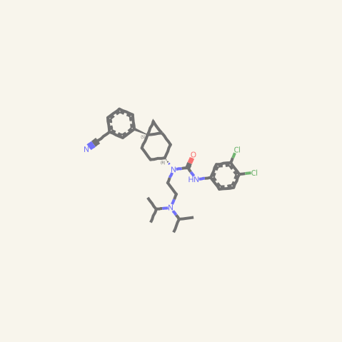 CC(C)N(CCN(C(=O)Nc1ccc(Cl)c(Cl)c1)[C@@H]1CC[C@]2(c3cccc(C#N)c3)CC2C1)C(C)C